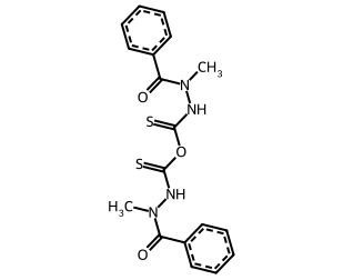 CN(NC(=S)OC(=S)NN(C)C(=O)c1ccccc1)C(=O)c1ccccc1